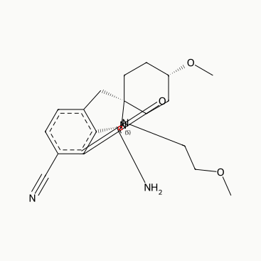 COCCN1C(=O)[C@@]2(N=C1N)c1cc(C#N)ccc1C[C@]21CC[C@@H](OC)CC1